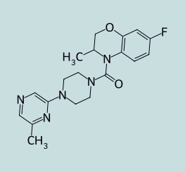 Cc1cncc(N2CCN(C(=O)N3c4ccc(F)cc4OCC3C)CC2)n1